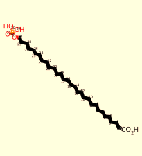 O=C(O)CCCCCCCCCCCCCCCCCCCCCCCCCCCCCCOP(=O)(O)O